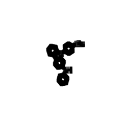 CC(C)(C)c1ccc(-n2c3ccccc3c3ccc(Nc4ccccc4)cc32)cc1